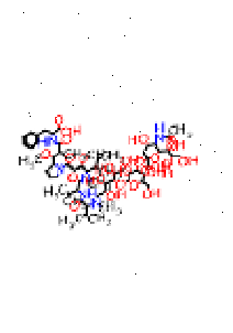 CCC(C)C(C(CC(=O)N1CCCC1C(OC)C(C)C(=O)NC(Cc1ccccc1)C(=O)O)OC)N(C)C(=O)C(NC(=O)C(C(C)C)N(C)CC(O)C(O)C(OC1OC(CO)C(O)C(OC2(C(=O)O)CC(O)C(NC(C)=O)C(C(O)C(O)CO)O2)C1O)C(O)CO)C(C)C